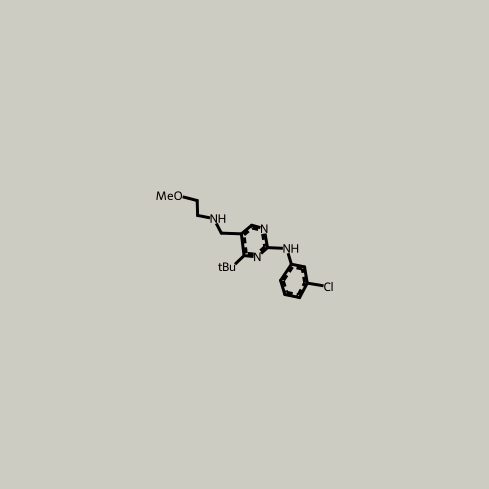 COCCNCc1cnc(Nc2cccc(Cl)c2)nc1C(C)(C)C